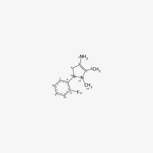 CC1=C(N)CN(c2ccccc2F)N1C